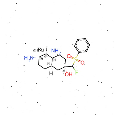 CC[C@H](C)[C@]1(N)CC[C@@H]2C[C@](O)(C(F)S(=O)(=O)c3ccccc3)CC[C@]2(N)[C@H]1C